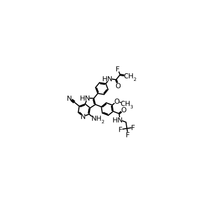 C=C(F)C(=O)Nc1ccc(-c2[nH]c3c(C#N)cnc(N)c3c2-c2ccc(C(=O)NCC(F)(F)F)c(OC)c2)cc1